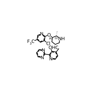 C[C@@H]1NCCC[C@H]1Oc1ncc(C(F)(F)F)cc1Cl.Cc1ccnc(-c2ncccn2)c1C=O